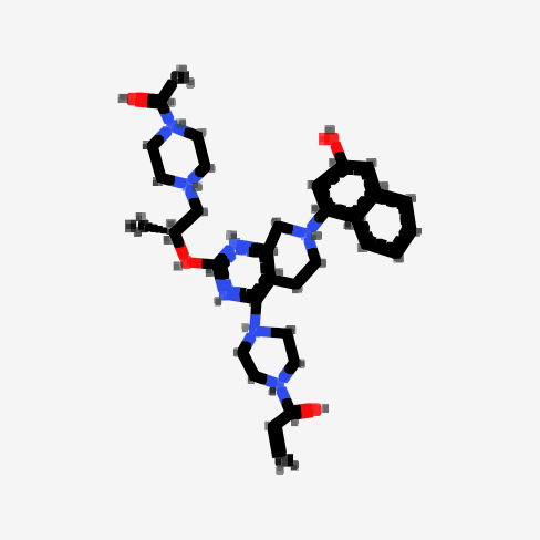 C=CC(=O)N1CCN(c2nc(O[C@H](C)CN3CCN(C(C)=O)CC3)nc3c2CCN(c2cc(O)cc4ccccc24)C3)CC1